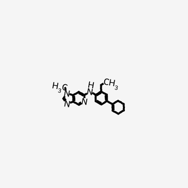 CCc1cc(C2=CCCCC2)ccc1Nc1cc2c(cn1)ncn2C